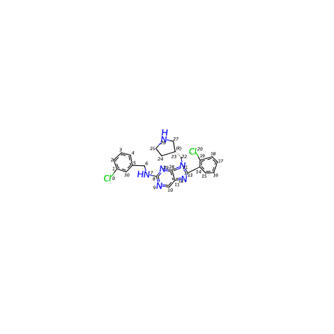 Clc1cccc(CNc2ncc3nc(-c4ccccc4Cl)n(C[C@@H]4CCNC4)c3n2)c1